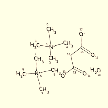 C[N+](C)(C)C.C[N+](C)(C)C.O.O=C([O-])CC(=O)[O-]